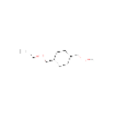 CCOCC1CCC(COCCl)CC1